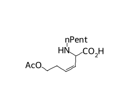 CCCCCNC(/C=C\CCOC(C)=O)C(=O)O